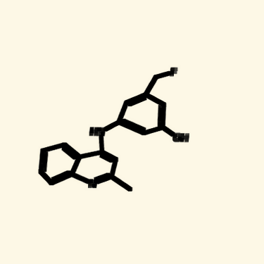 Cc1cc(Nc2cc(O)cc(CF)c2)c2ccccc2n1